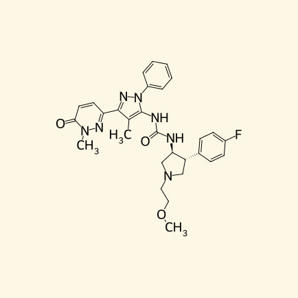 COCCN1C[C@@H](NC(=O)Nc2c(C)c(-c3ccc(=O)n(C)n3)nn2-c2ccccc2)[C@H](c2ccc(F)cc2)C1